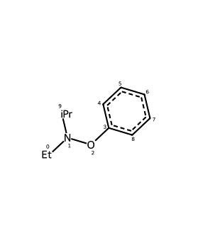 CCN(Oc1ccccc1)C(C)C